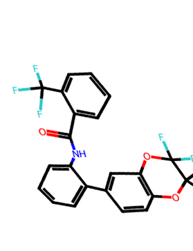 O=C(Nc1ccccc1-c1ccc2c(c1)OC(F)(F)C(F)(F)O2)c1ccccc1C(F)(F)F